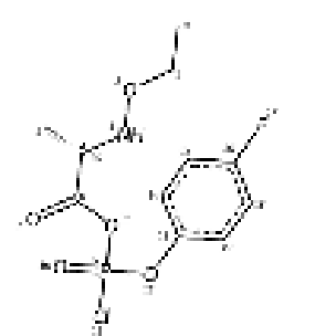 CCON[C@@H](C)C(=O)OP(=O)(Cl)Oc1ccc(F)cc1